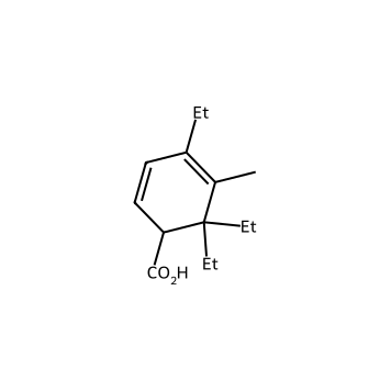 CCC1=C(C)C(CC)(CC)C(C(=O)O)C=C1